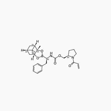 C=CC(=O)N1CCC[C@@H]1COC(=O)N[C@@H](Cc1ccccc1)B1O[C@@H]2C[C@@H]3C[C@@H](C3(C)C)[C@]2(C)O1